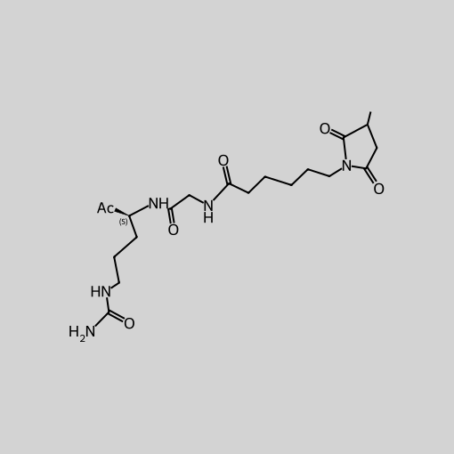 CC(=O)[C@H](CCCNC(N)=O)NC(=O)CNC(=O)CCCCCN1C(=O)CC(C)C1=O